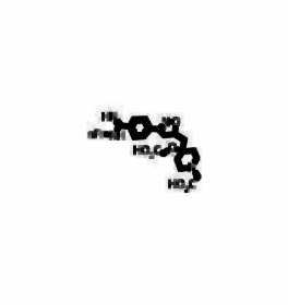 CCCNC(=N)c1ccc(C2=NOC(CC3(OCC(=O)O)CCN(CC(=O)O)CC3)C2)cc1